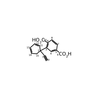 C#CC1(c2cc(C(=O)O)ccc2C(=O)O)C=CC=CC1